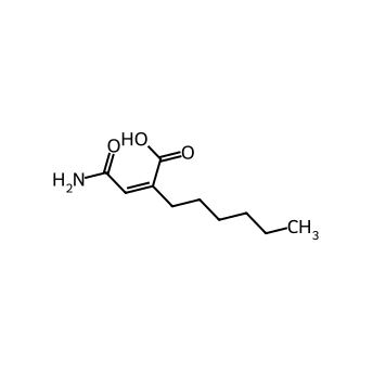 CCCCCCC(=CC(N)=O)C(=O)O